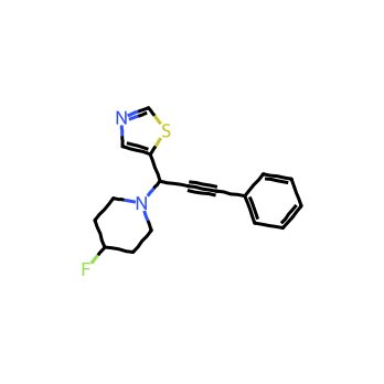 FC1CCN(C(C#Cc2ccccc2)c2cncs2)CC1